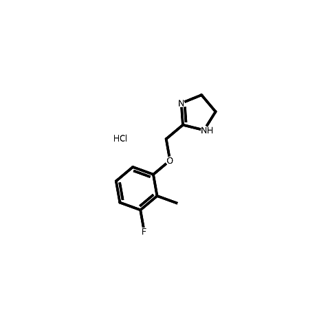 Cc1c(F)cccc1OCC1=NCCN1.Cl